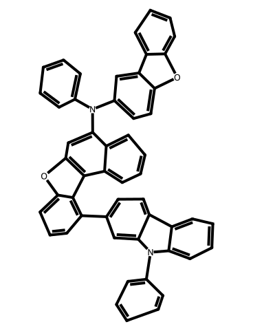 c1ccc(N(c2ccc3oc4ccccc4c3c2)c2cc3oc4cccc(-c5ccc6c7ccccc7n(-c7ccccc7)c6c5)c4c3c3ccccc23)cc1